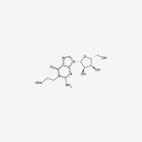 CCCCCCCCCCCCn1c(N)nc2c(ncn2[C@@H]2O[C@H](CO)[C@@H](O)[C@H]2O)c1=O